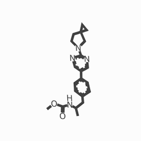 COC(=O)NC(C)Cc1ccc(-c2cnc(N3CCC4(CC4)C3)nc2)cc1